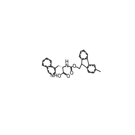 Cc1ccc2c(c1)-c1ccccc1C2COC(=O)N[C@@H](Cc1cncc2ccccc12)C(=O)O